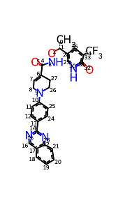 C[C@@H](ONC(=O)C1=CCN(c2ccc(-c3ncc4ccccc4n3)cc2)CC1)c1c[nH]c(=O)c(C(F)(F)F)c1